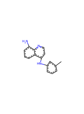 Cc1cccc(Nc2ccnc3c(N)cccc23)c1